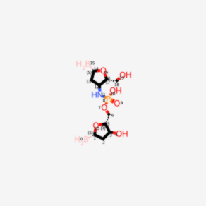 B[C@H]1CC(O)[C@@H](COP(=O)(O)NC2C[C@H](B)O[C@@H]2CO)O1